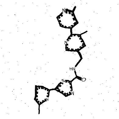 Cc1cc(-c2ncc(CNC(=O)c3ncc(-c4cccc(C)n4)s3)cc2C)ccn1